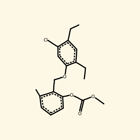 CCc1cc(CC)c(OCc2c(C)cccc2OC(=O)OC)cc1Cl